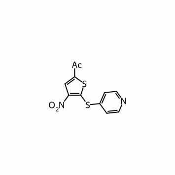 CC(=O)c1cc([N+](=O)[O-])c(Sc2ccncc2)s1